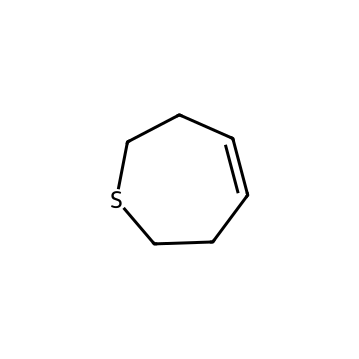 C1=CCCSCC1